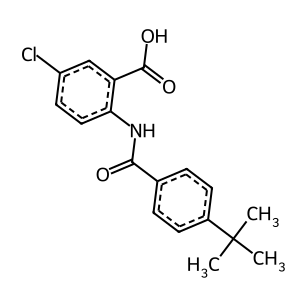 CC(C)(C)c1ccc(C(=O)Nc2ccc(Cl)cc2C(=O)O)cc1